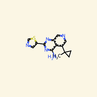 CC1(c2cncc3nc(-c4cncs4)nc(N)c23)CC1